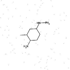 CC1CC(NP)CCC1N